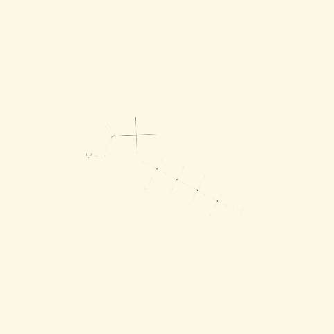 COC(=O)C(F)(OC(F)(F)C(F)(F)C(F)(F)C(F)(F)C(F)(F)F)C(F)(F)F